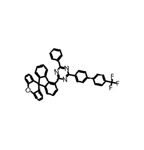 FC(F)(F)c1ccc(-c2ccc(-c3nc(-c4ccccc4)nc(-c4cccc5c4-c4ccccc4C54c5ccccc5Oc5ccccc54)n3)cc2)cc1